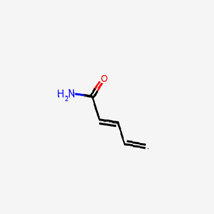 [CH]=CC=CC(N)=O